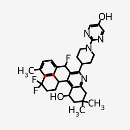 Cc1ccc(C(F)c2c(C3CCN(c4ncc(O)cn4)CC3)nc3c(c2C2CCC(F)(F)CC2)C(O)CC(C)(C)C3)cc1